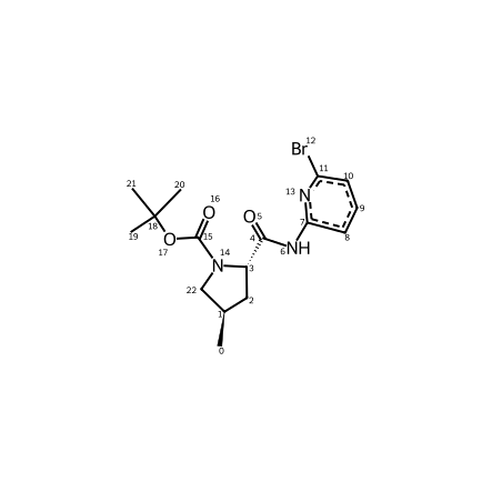 C[C@@H]1C[C@@H](C(=O)Nc2cccc(Br)n2)N(C(=O)OC(C)(C)C)C1